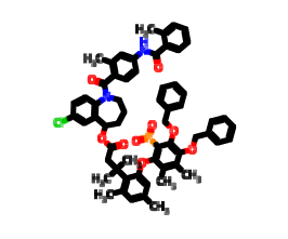 Cc1cc(C)c(C(C)(C)CC(=O)OC2CCCN(C(=O)c3ccc(NC(=O)c4ccccc4C)cc3C)c3ccc(Cl)cc32)c(Oc2c(C)c(C)c(OCc3ccccc3)c(OCc3ccccc3)c2P(=O)=O)c1